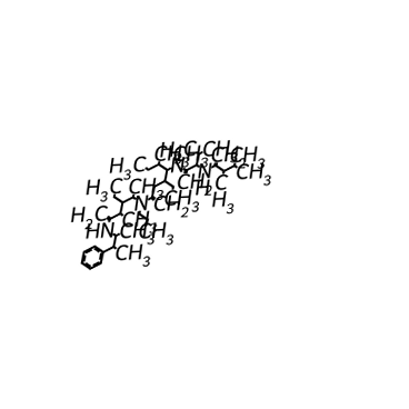 C=C(NC(C(=C)N(C)C(C(C)CC)C(CC)CC(=C)N(CCC)C(C)C(CC)C(C)C(=C)NC(C)C(C)c1ccccc1)C(C)C)C(C)C(C)C